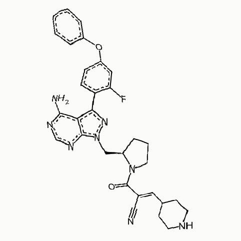 N#C/C(=C\C1CCNCC1)C(=O)N1CCC[C@@H]1Cn1nc(-c2ccc(Oc3ccccc3)cc2F)c2c(N)ncnc21